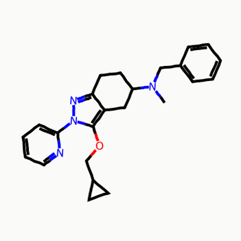 CN(Cc1ccccc1)C1CCc2nn(-c3ccccn3)c(OCC3CC3)c2C1